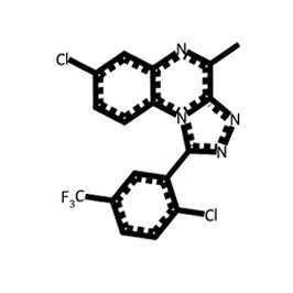 Cc1nc2cc(Cl)ccc2n2c(-c3cc(C(F)(F)F)ccc3Cl)nnc12